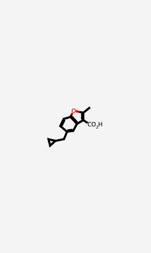 Cc1oc2ccc(CC3CC3)cc2c1C(=O)O